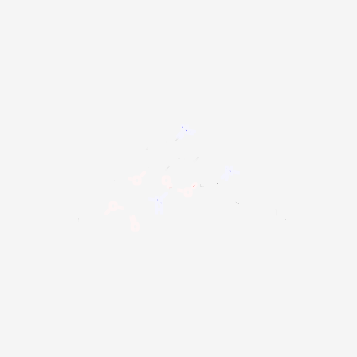 C=CC1CN2CCC1CC2[C@@H](OC(=O)NCC(=O)OCC)c1ccnc2ccc(OC)cc12